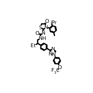 CCC(CNC(=O)N=C1SCC(=O)N1c1cc(C)ccc1C(C)C)c1ccc(-c2ncn(-c3ccc(OC(F)(F)F)cc3)n2)cc1